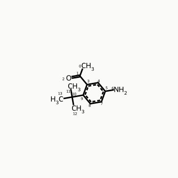 CC(=O)c1cc(N)ccc1C(C)(C)C